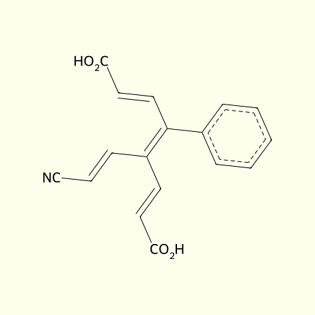 N#CC=CC(C=CC(=O)O)=C(C=CC(=O)O)c1ccccc1